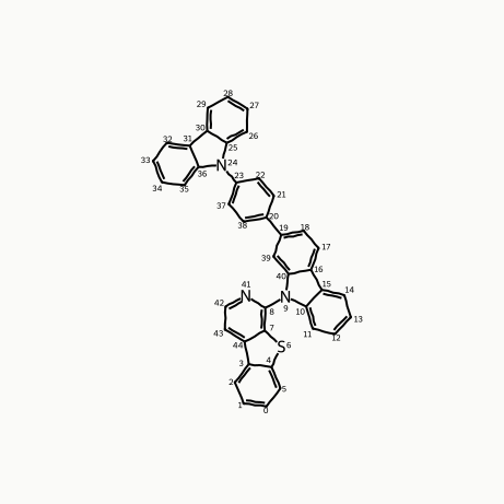 c1ccc2c(c1)sc1c(-n3c4ccccc4c4ccc(-c5ccc(-n6c7ccccc7c7ccccc76)cc5)cc43)nccc12